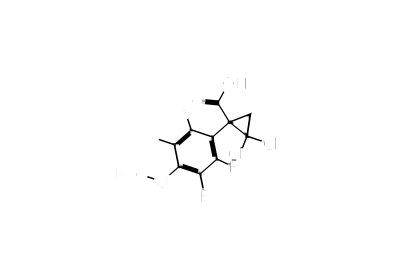 COc1c(F)c(F)c(C2(C(=O)O)CC2(Cl)Cl)c(F)c1F